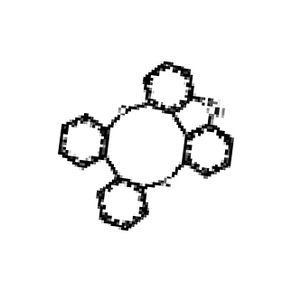 Oc1cccc2c1-c1c(O)cccc1Oc1ccccc1-c1ccccc1O2